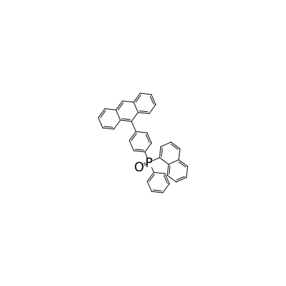 O=P(c1ccccc1)(c1ccc(-c2c3ccccc3cc3ccccc23)cc1)c1cccc2ccccc12